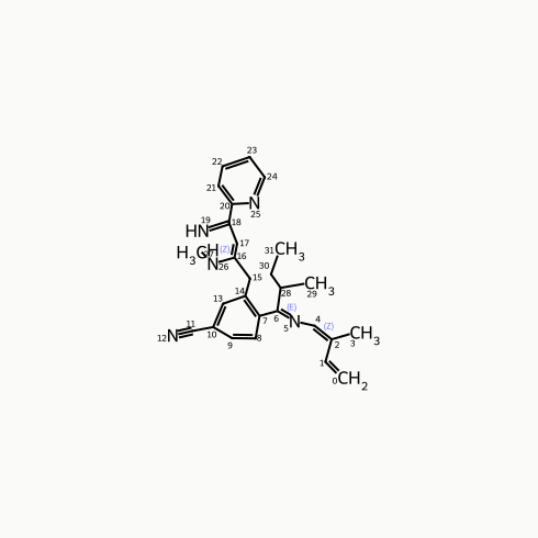 C=C/C(C)=C\N=C(\c1ccc(C#N)cc1C/C(=C/C(=N)c1ccccn1)NC)C(C)CC